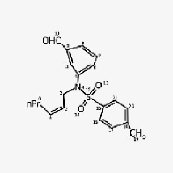 CCC/C=C\CN(c1cccc(C=O)c1)S(=O)(=O)c1ccc(C)cc1